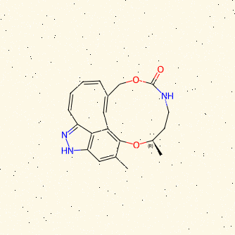 Cc1cc2[nH]nc3c2c2c1O[C@H](C)CCNC(=O)OCC(=C2)C=CC=C3